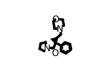 O=C(N1CCCC1)C1(c2ccccc2)CC1CN1CCOCC1